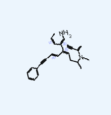 C#CC(=C)N(C)C(C)C/C=C(\C=C\C#Cc1ccccc1)C(/C=C\C)=C/N